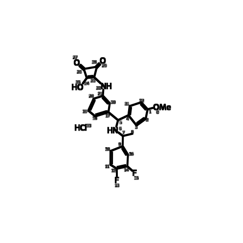 COc1ccc(C(NC(C)c2ccc(F)c(F)c2)c2cccc(Nc3c(O)c(=O)c3=O)c2)cc1.Cl